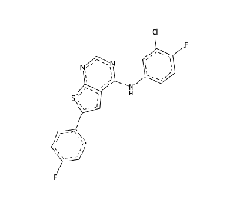 Fc1ccc(-c2cc3c(Nc4ccc(F)c(Cl)c4)ncnc3s2)cc1